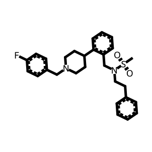 CS(=O)(=O)N(CCc1ccccc1)Cc1ccccc1C1CCN(Cc2ccc(F)cc2)CC1